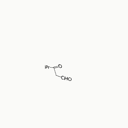 CC(C)C(=O)CC=O